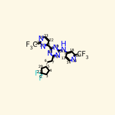 FC1(F)CC[C@@H](CCc2nc(Nc3ccnc(C(F)(F)F)c3)nc(-c3ccnc(C(F)(F)F)n3)n2)C1